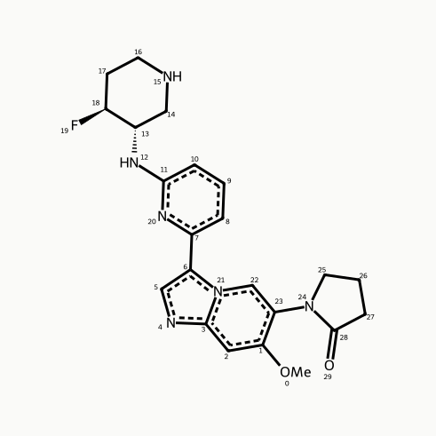 COc1cc2ncc(-c3cccc(N[C@H]4CNCC[C@@H]4F)n3)n2cc1N1CCCC1=O